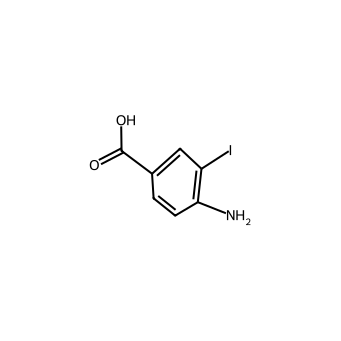 Nc1ccc(C(=O)O)cc1I